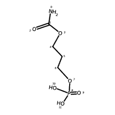 NC(=O)OCCCOP(=O)(O)O